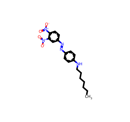 CCCCCCCNc1ccc(N=Nc2ccc([N+](=O)[O-])c([N+](=O)[O-])c2)cc1